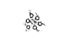 NNc1ccc(OP2(Oc3ccc(NN)cc3)=NP(Oc3ccc(NN)cc3)(Oc3ccc(NN)cc3)=NP(Oc3ccc(NN)cc3)(Oc3ccc(NN)cc3)=N2)cc1